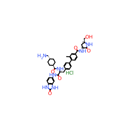 Cc1cc(C(=O)N[C@@H]2C[C@@H](CO)NC2=O)ccc1-c1ccc(C[C@H](NC(=O)[C@H]2CC[C@H](CN)CC2)C(=O)Nc2ccc3[nH]c(=O)[nH]c3c2)cc1.Cl